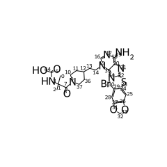 CC(C)(NC(=O)O)C(=O)N1CCC(CCn2cnc(N)c3nc(Sc4cc5c(cc4Br)OCO5)nc2-3)CC1